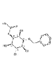 CCCC(=O)O[C@H]1[C@@H](O)[C@H](OCc2ccccc2)[C@@H](O)[C@H](O)[C@H]1O